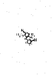 CCc1c(C#N)cccc1Cc1cccc(C#N)c1CC